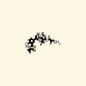 C=C/C(F)=C(\F)Oc1nn(C)c(-n2cc(-c3ccc(Cl)c(C(=O)NC4(C#N)CC4)c3)cn2)c1C(F)(F)F